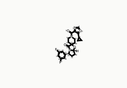 O=C(c1ncoc1C1CC1)N1CCC2(CC1)O[C@@H]1CC[C@@H](c3cc(F)cc(F)c3)N1C2=O